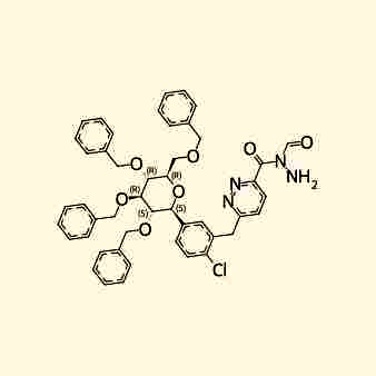 NN(C=O)C(=O)c1ccc(Cc2cc([C@@H]3O[C@H](COCc4ccccc4)[C@@H](OCc4ccccc4)[C@H](OCc4ccccc4)[C@H]3OCc3ccccc3)ccc2Cl)nn1